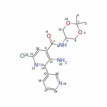 CC1(C)OCC(NC(=O)c2cc(Cl)nc(-c3cccnc3)c2N)CO1